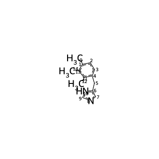 Cc1ccc(Cc2cnc[nH]2)c(C)c1C